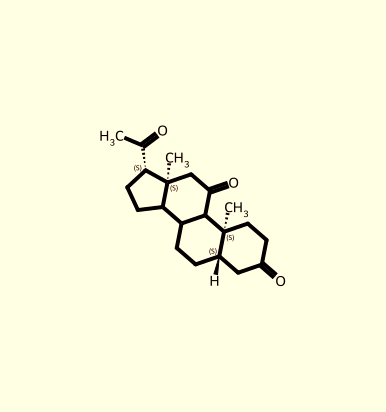 CC(=O)[C@H]1CCC2C3CC[C@H]4CC(=O)CC[C@]4(C)C3C(=O)C[C@@]21C